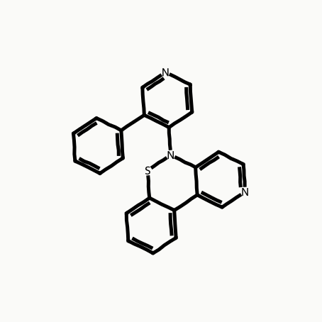 c1ccc(-c2cnccc2N2Sc3ccccc3-c3cnccc32)cc1